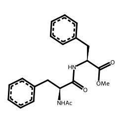 COC(=O)[C@H](Cc1ccccc1)NC(=O)[C@H](Cc1ccccc1)NC(C)=O